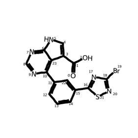 O=C(O)c1c[nH]c2ncnc(-c3cccc(-c4nc(Br)ns4)c3)c12